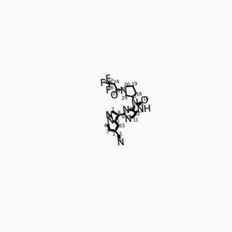 N#Cc1ccn2ncc(-c3ncc4[nH]c(=O)n(C5CCCN(C(=O)CC(F)(F)F)C5)c4n3)c2c1